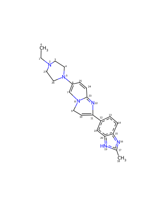 CCN1CCN(C2=CN3CC=C(c4ccc5nc(C)[nH]c5c4)N=C3C=C2)CC1